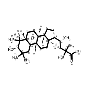 BC(B)(C[C@@H](C)[C@H]1CC[C@H]2[C@@H]3CC[C@@H]4C(B)(B)[C@@H](O)C(B)(B)C[C@]4(C)[C@H]3CC[C@]12C)C(=O)O